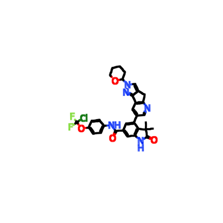 CC1(C)C(=O)Nc2cc(C(=O)Nc3ccc(OC(F)(F)Cl)cc3)cc(-c3cnc4c(c3)-c3nn(C5CCCCO5)cc3C4)c21